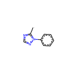 [CH2]c1ncnn1-c1ccccc1